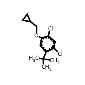 CC(C)(C)c1cc(OCC2CC2)c(Cl)cc1Cl